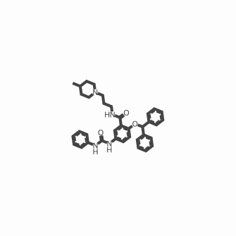 CC1CCN(CCCNC(=O)c2cc(NC(=O)Nc3ccccc3)ccc2OC(c2ccccc2)c2ccccc2)CC1